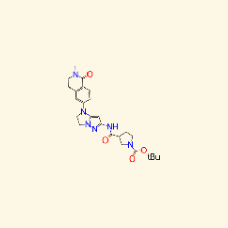 CN1CCc2cc(N3CCn4nc(NC(=O)C5CCN(C(=O)OC(C)(C)C)C5)cc43)ccc2C1=O